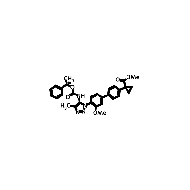 COC(=O)C1(c2ccc(-c3ccc(-n4nnc(C)c4NC(=O)O[C@H](C)c4ccccc4)c(OC)c3)cc2)CC1